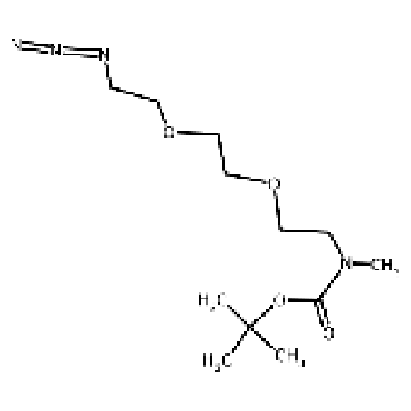 CN(CCOCCOCCN=[N+]=[N-])C(=O)OC(C)(C)C